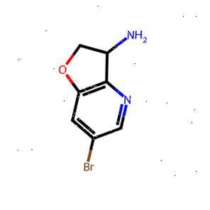 NC1COc2cc(Br)cnc21